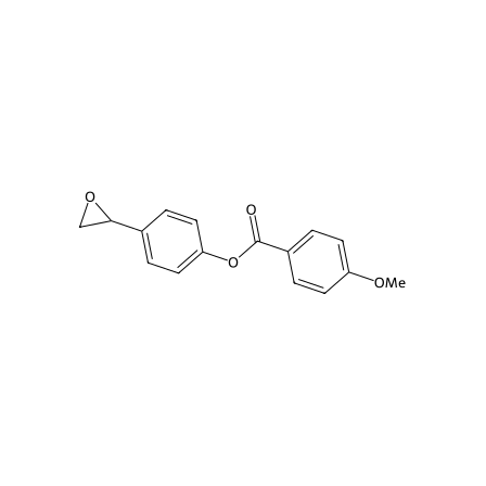 COc1ccc(C(=O)Oc2ccc(C3CO3)cc2)cc1